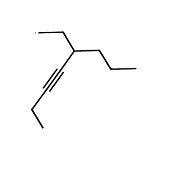 [CH2]CC(C#CCC)CCC